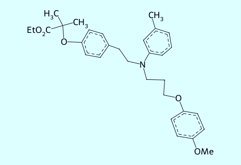 CCOC(=O)C(C)(C)Oc1ccc(CCN(CCCOc2ccc(OC)cc2)c2cccc(C)c2)cc1